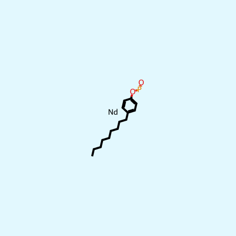 CCCCCCCCCc1ccc(OP=O)cc1.[Nd]